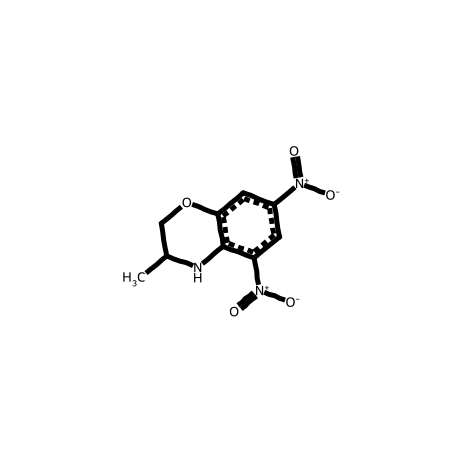 CC1COc2cc([N+](=O)[O-])cc([N+](=O)[O-])c2N1